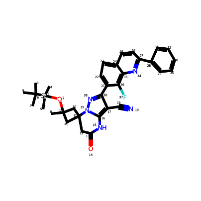 CC1(O[Si](C)(C)C(C)(C)C)CC2(CC(=O)Nc3c(C#N)c(-c4ccc5ccc(-c6ccccc6)nc5c4F)nn32)C1